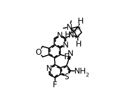 CN(C)[C@@H]1[C@H]2C[C@@H]1N(c1ncc3c4c(c(-c5ncc(F)c6sc(N)c(C#N)c56)c(F)c3n1)COC4)C2